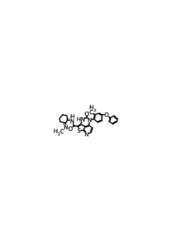 C=N[C@@H]1CCCC[C@@H]1NC(=O)c1sc2nccc3c2c1NC(=O)N3c1ccc(Oc2ccccc2)cc1C